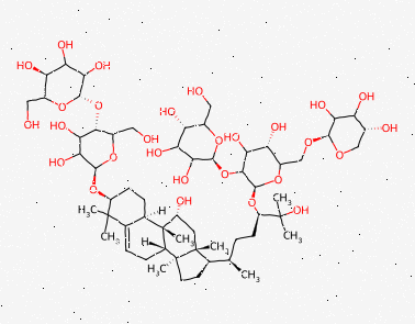 C[C@H](CC[C@@H](O[C@@H]1OC(CO[C@@H]2OC[C@@H](O)C(O)C2O)[C@@H](O)C(O)C1O[C@@H]1OC(CO)[C@@H](O)C(O)C1O)C(C)(C)O)[C@H]1CC[C@@]2(C)[C@@H]3CC=C4[C@@H](CC[C@H](O[C@@H]5OC(CO)[C@@H](O[C@@H]6OC(CO)[C@@H](O)C(O)C6O)C(O)C5O)C4(C)C)[C@]3(C)[C@H](O)C[C@]12C